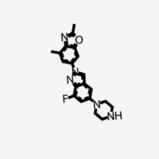 Cc1nc2c(C)cc(-n3cc4cc(N5CCNCC5)cc(F)c4n3)cc2o1